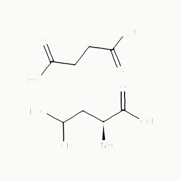 CC(C)C[C@H](N)C(=O)O.O=C(O)CCC(=O)O